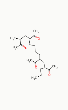 CCCC(CC(CCCCC(C[C@H](C)C(C)=O)C(C)=O)C(C)=O)C(C)=O